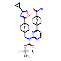 CC(C)(OC(=O)N(CC12CCC(c3nc(C4CC4)no3)(CC1)CC2)c1nccc(C23CCC(C(N)=O)(CC2)CC3)n1)C(F)(F)F